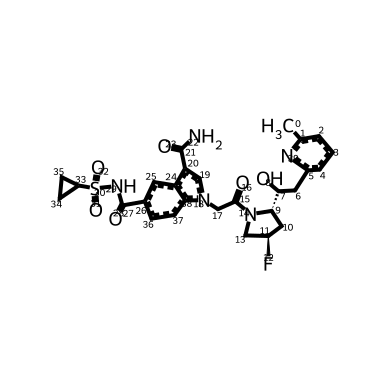 Cc1cccc(CC(O)[C@@H]2C[C@@H](F)CN2C(=O)Cn2cc(C(N)=O)c3cc(C(=O)NS(=O)(=O)C4CC4)ccc32)n1